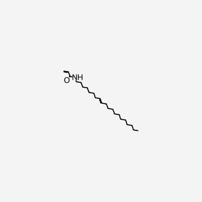 C=CC(=O)NCCCCCCC/C=C/CCCCCCCCCCC